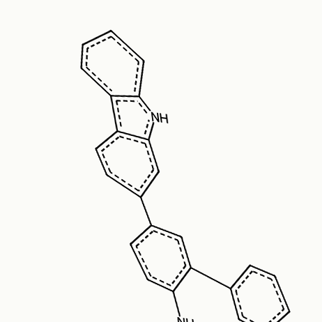 Nc1ccc(-c2ccc3c(c2)[nH]c2ccccc23)cc1-c1ccccc1